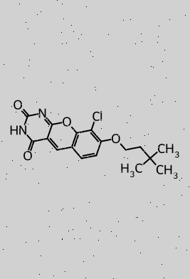 CC(C)(C)CCOc1ccc2cc3c(=O)[nH]c(=O)nc-3oc2c1Cl